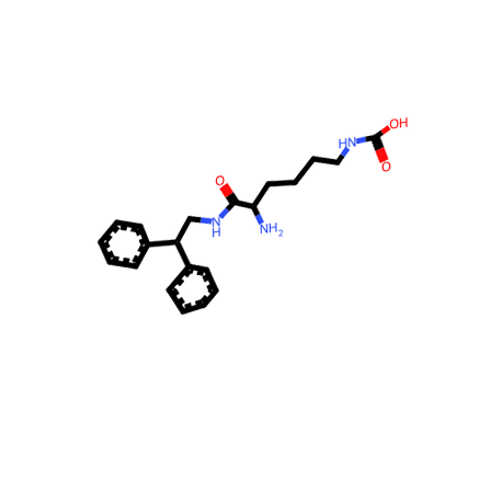 NC(CCCCNC(=O)O)C(=O)NCC(c1ccccc1)c1ccccc1